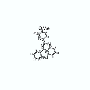 COc1ccc(-c2nc(-c3ccccc3Cl)c3ccccc3n2)nc1C